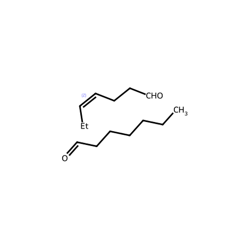 CC/C=C\CCC=O.CCCCCCC=O